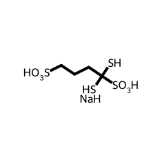 O=S(=O)(O)CCCC(S)(S)S(=O)(=O)O.[NaH]